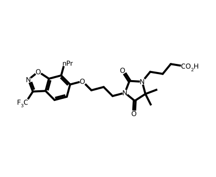 CCCc1c(OCCCN2C(=O)N(CCCC(=O)O)C(C)(C)C2=O)ccc2c(C(F)(F)F)noc12